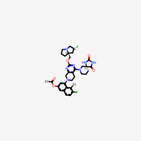 CCC(=O)Oc1cc(N2CCc3c(nc(OC[C@@]45CCCN4C[C@H](F)C5)nc3N3CCC[C@]4(C3)NC(=O)NC4=O)C2)c2c(CC)c(F)ccc2c1